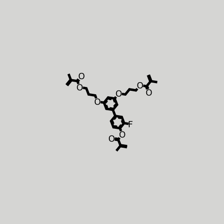 C=C(C)C(=O)OCCCOc1cc(OCCCOC(=O)C(=C)C)cc(-c2ccc(OC(=O)C(=C)C)c(F)c2)c1